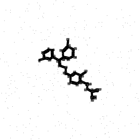 Cc1cccc(C(=CCSc2ccc(OCC(=O)O)c(C)c2)c2cccc(C)c2)c1